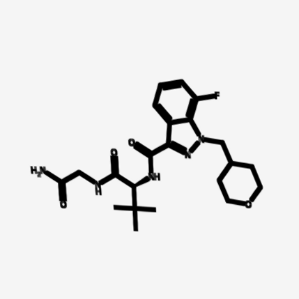 CC(C)(C)[C@H](NC(=O)c1nn(CC2CCOCC2)c2c(F)cccc12)C(=O)NCC(N)=O